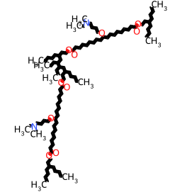 CCCCCC(CCCCC)CCOC(=O)CCCCCCCCC(CCCCCCCCC(=O)OCCC(CCCCC)CC(CCC)C(CCC)CC(CCCCC)CCOC(=O)CCCCCCCCC(CCCCCCCCC(=O)OCCC(CCCCC)CCCCC)OCCCCN(CC)CC)OCCCCN(C)CC